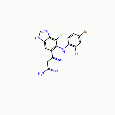 N=C(N)CC(=N)c1cc2[nH]cnc2c(F)c1Nc1ccc(Br)cc1Cl